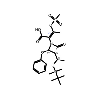 C/C(OS(C)(=O)=O)=C(/C(=O)O)N1C(=O)[C@H]([C@@H](C)O[Si](C)(C)C(C)(C)C)[C@H]1Sc1ccccc1